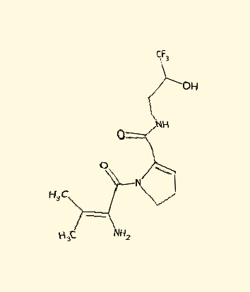 CC(C)=C(N)C(=O)N1CCC=C1C(=O)NCC(O)C(F)(F)F